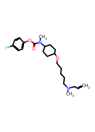 C=CCN(C)CCCCCOC1CCC(N(C)C(=O)Oc2ccc(F)cc2)CC1